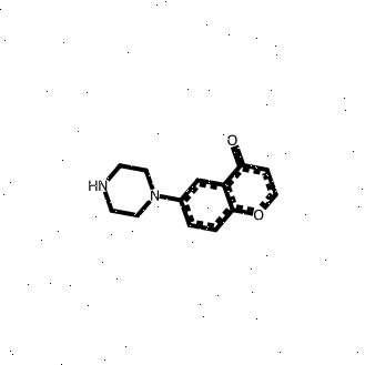 O=c1ccoc2ccc(N3CCNCC3)cc12